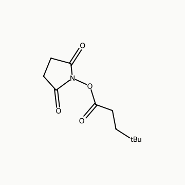 CC(C)(C)CCC(=O)ON1C(=O)CCC1=O